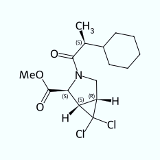 COC(=O)[C@@H]1[C@@H]2[C@H](CN1C(=O)[C@@H](C)C1CCCCC1)C2(Cl)Cl